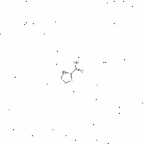 O=C(S)C1NCCS1